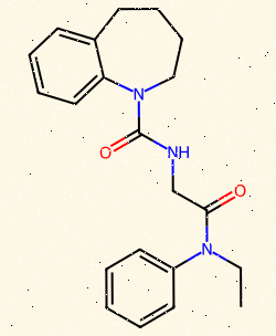 CCN(C(=O)CNC(=O)N1CCCCc2ccccc21)c1ccccc1